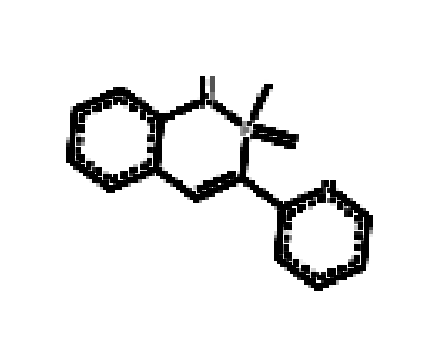 C=P1(C)Nc2ccccc2C=C1c1ccccn1